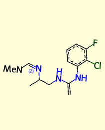 C=C(NCC(C)/N=C\NC)Nc1cccc(F)c1Cl